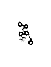 NNC(=O)[C@H]1CCCc2c1c1cc(OCCc3ccccc3)ccc1n2Cc1ccccc1-c1ccccc1